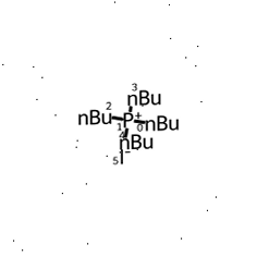 CCCC[P+](CCCC)(CCCC)CCCC.[I-]